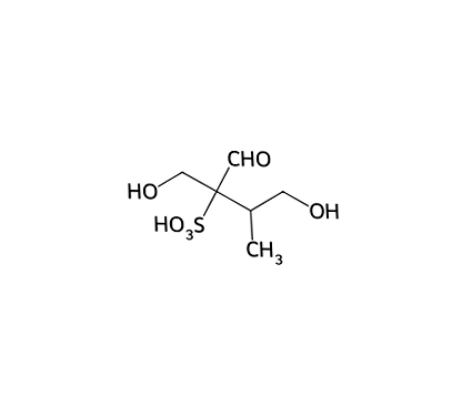 CC(CO)C(C=O)(CO)S(=O)(=O)O